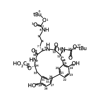 CC(C)(C)OC(=O)NCCC[C@@H]1NC(=O)[C@@H](NC(=O)OC(C)(C)C)Cc2cc(ccc2O)-c2ccc(O)c(c2)C[C@H](OC(=O)O)NC1=O